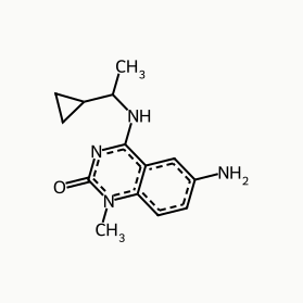 CC(Nc1nc(=O)n(C)c2ccc(N)cc12)C1CC1